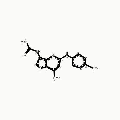 CNC(=O)Nc1cnn2c(NC)cc(Nc3ccc(OC)cc3)nc12